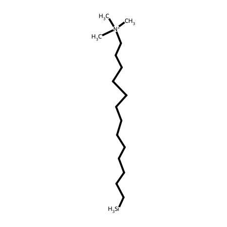 C[N+](C)(C)CCCCCCCCCCCCC[SiH3]